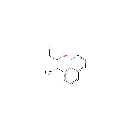 CCC(O)[C@@H](C)c1cccc2ccccc12